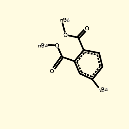 CCCCOC(=O)c1ccc(C(C)(C)C)cc1C(=O)OCCCC